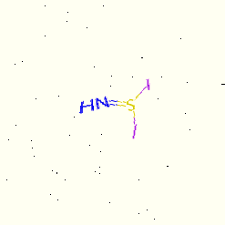 N=S(I)I